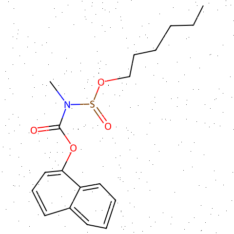 CCCCCCOS(=O)N(C)C(=O)Oc1cccc2ccccc12